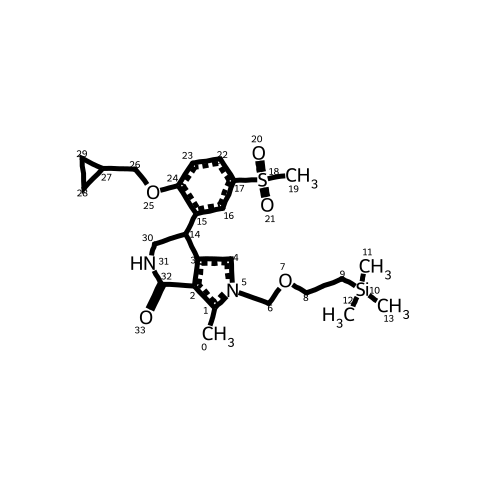 Cc1c2c(cn1COCC[Si](C)(C)C)C(c1cc(S(C)(=O)=O)ccc1OCC1CC1)CNC2=O